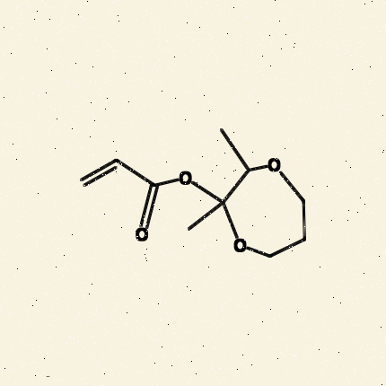 C=CC(=O)OC1(C)OCCCOC1C